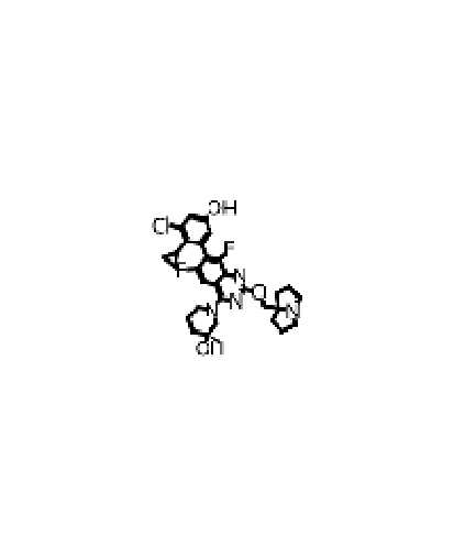 C[C@@]1(O)CCCN(c2nc(OCC34CCCN3CCC4)nc3c(F)c(-c4cc(O)cc(Cl)c4C4CC4)c(F)cc23)C1